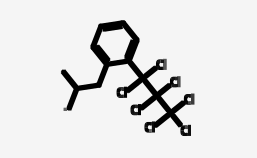 [CH2]C(C)Cc1ccccc1C(Cl)(Cl)C(Cl)(Cl)C(Cl)(Cl)Cl